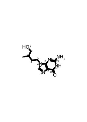 CC(CO)CCn1cnc2c(=O)[nH]c(N)nc21